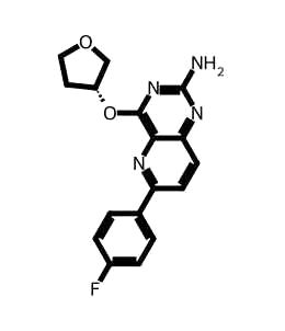 Nc1nc(O[C@@H]2CCOC2)c2nc(-c3ccc(F)cc3)ccc2n1